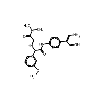 COc1cccc(C(NCC(=O)N(C)C)C(=O)Nc2ccc(/C(C=N)=C/N)cc2)c1